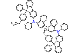 C=Cc1ccc(C2(c3ccccc3)c3ccccc3-c3ccc(N(c4ccccc4)c4ccc(-c5ccc(N(c6ccc7c(c6)C(c6ccccc6)(c6ccc(C=C)cc6)c6ccccc6-7)C6CC=CCC6)c6ccccc56)c5ccccc45)cc32)cc1